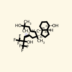 CC(C)(O)CCCC(C)(C/C=C\C(O)(C(F)(F)F)C(F)(F)F)[C@H]1CC[C@H]2[C@@H](O)CCC[C@]12C